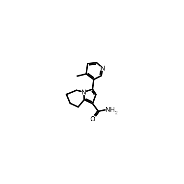 Cc1ccncc1-c1cc(C(N)=O)c2n1CCCC2